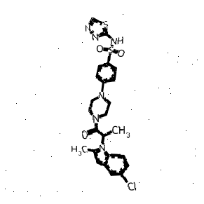 Cc1cc2cc(Cl)ccc2n1C(C)C(=O)N1CCN(c2ccc(S(=O)(=O)Nc3nncs3)cc2)CC1